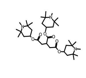 CN1C(C)(C)CC(OC(=O)CC(CC(=O)OC2CC(C)(C)N(C)C(C)(C)C2)C(=O)OC2CC(C)(C)N(C)C(C)(C)C2)CC1(C)C